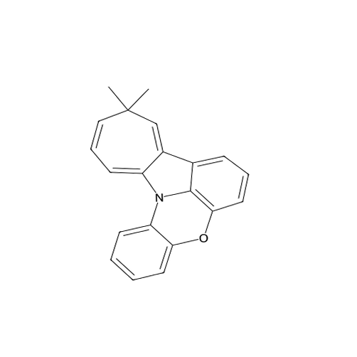 CC1(C)C=CC=c2c(c3cccc4c3n2-c2ccccc2O4)=C1